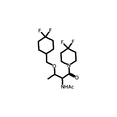 CC(=O)NC(C(=O)N1CCC(F)(F)CC1)C(C)OCC1CCC(F)(F)CC1